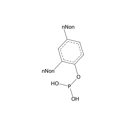 CCCCCCCCCc1ccc(OP(O)O)c(CCCCCCCCC)c1